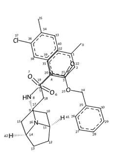 Cc1ccc(S(=O)(=O)N[C@@H]2C[C@H]3CC[C@@H](C2)N3CCCN(C(=O)OCc2ccccc2)c2ccc(C)c(Cl)c2)cc1